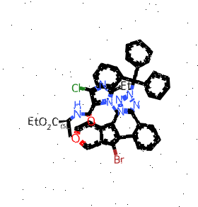 CCOC(=O)[C@H](C)NC(=O)c1c(Cl)nc(CC)n1Cc1c2ccocc-2c(Br)c1-c1ccccc1-c1nnn(C(c2ccccc2)(c2ccccc2)c2ccccc2)n1